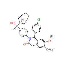 COc1cc2c(cc1OC(C)C)[C@H](c1ccc(Cl)cc1)N(c1ccc(C(C)(O)C3CC4CCC(C3)N4C)cc1)C(=O)C2